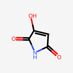 O=C1[C]=C(O)C(=O)N1